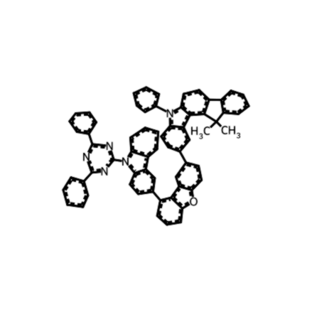 CC1(C)c2ccccc2-c2ccc3c(c21)c1cc(-c2ccc4oc5cccc(-c6ccc7c(c6)c6ccccc6n7-c6nc(-c7ccccc7)nc(-c7ccccc7)n6)c5c4c2)ccc1n3-c1ccccc1